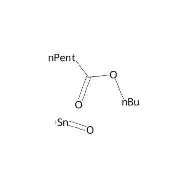 CCCCCC(=O)OCCCC.[O]=[Sn]